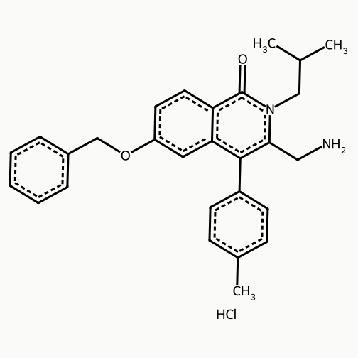 Cc1ccc(-c2c(CN)n(CC(C)C)c(=O)c3ccc(OCc4ccccc4)cc23)cc1.Cl